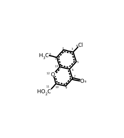 Cc1cc(Cl)cc2c(=O)cc(C(=O)O)oc12